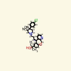 CC(C)(O)C1=CC2=C(CC1)OCc1ncccc1/C2=C\CCN1CCC(N=O)(c2ccc(Cl)cc2)C(C#N)C1